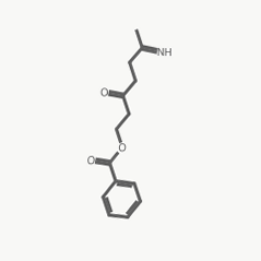 CC(=N)CCC(=O)CCOC(=O)c1ccccc1